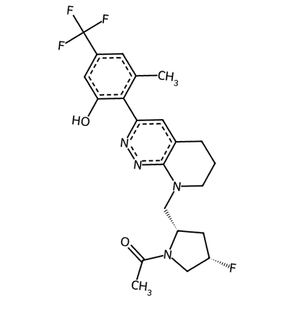 CC(=O)N1C[C@@H](F)C[C@H]1CN1CCCc2cc(-c3c(C)cc(C(F)(F)F)cc3O)nnc21